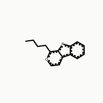 CCCCc1occc2c3ccccc3nc1-2